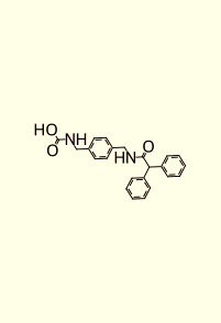 O=C(O)NCc1ccc(CNC(=O)C(c2ccccc2)c2ccccc2)cc1